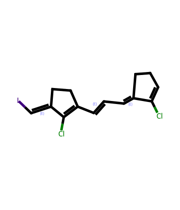 ClC1=CCC/C1=C\C=C\C1=C(Cl)C(=C/I)/CC1